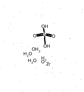 O.O.O.O.O=S(=O)(O)O.[Zr]